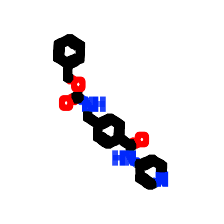 O=C(NCc1ccc(C(=O)Nc2ccncc2)cc1)OCc1ccccc1